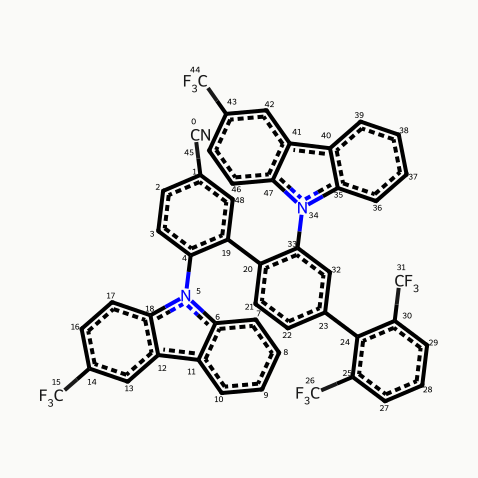 N#Cc1ccc(-n2c3ccccc3c3cc(C(F)(F)F)ccc32)c(-c2ccc(-c3c(C(F)(F)F)cccc3C(F)(F)F)cc2-n2c3ccccc3c3cc(C(F)(F)F)ccc32)c1